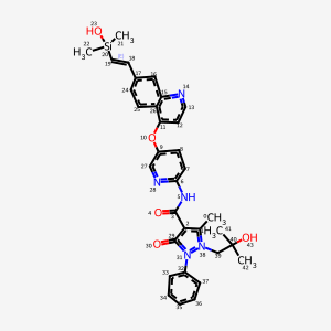 Cc1c(C(=O)Nc2ccc(Oc3ccnc4cc(/C=C/[Si](C)(C)O)ccc34)cn2)c(=O)n(-c2ccccc2)n1CC(C)(C)O